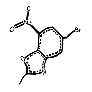 Cc1nc2cc(Br)cc([N+](=O)[O-])c2o1